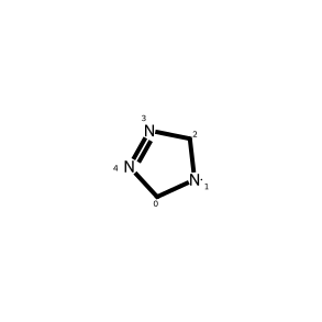 C1[N]CN=N1